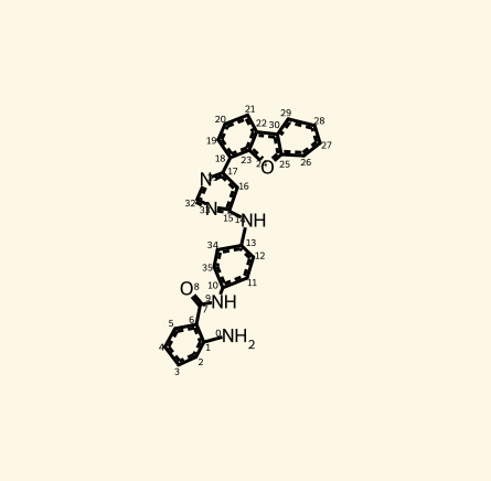 Nc1ccccc1C(=O)Nc1ccc(Nc2cc(-c3cccc4c3oc3ccccc34)ncn2)cc1